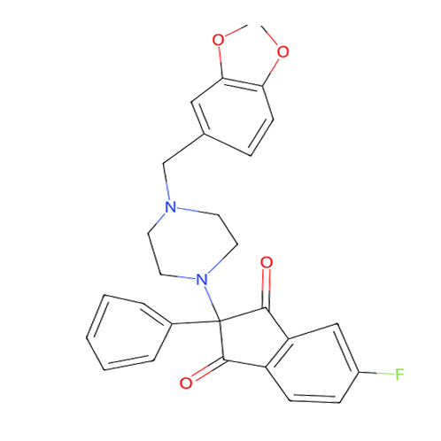 O=C1c2ccc(F)cc2C(=O)C1(c1ccccc1)N1CCN(Cc2ccc3c(c2)OCO3)CC1